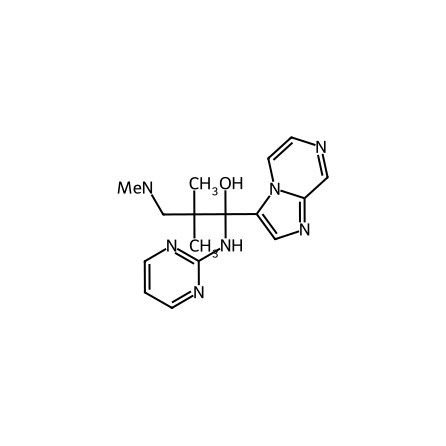 CNCC(C)(C)C(O)(Nc1ncccn1)c1cnc2cnccn12